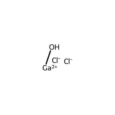 [Cl-].[Cl-].[OH][Ga+2]